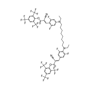 CCN(CCCCCCCCN(CC)c1c(F)cc(/C=C(\C#N)C(=O)Oc2c(C(F)(F)F)cc(C(F)(F)F)cc2C(F)(F)F)cc1F)c1cc(F)c(/C=C(\C#N)C(=O)Oc2c(C(F)(F)F)cc(C(F)(F)F)cc2C(F)(F)F)c(F)c1